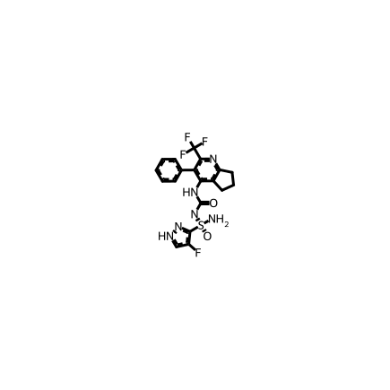 NS(=O)(=NC(=O)Nc1c2c(nc(C(F)(F)F)c1-c1ccccc1)CCC2)c1n[nH]cc1F